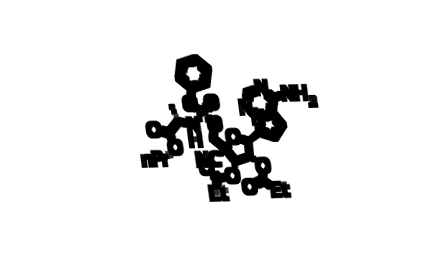 CCCOC(=O)[C@H](C)N[P@@](=O)(OC[C@@]1(C#N)O[C@@H](c2ccc3c(N)ncnn23)[C@H](OC(=O)CC)[C@@H]1OC(=O)CC)Oc1ccccc1